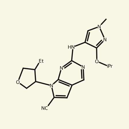 CCC1COCC1n1c(C#N)cc2cnc(Nc3cn(C)nc3OC(C)C)nc21